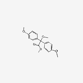 COC(=O)C(OC)(c1ccc(OC)cc1)c1ccc(OC)cc1